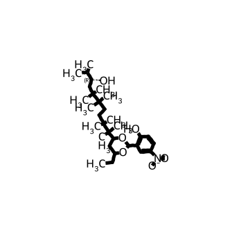 CCC1CC(C(C)(C)C(C)(C)CCC(C)(C)C(C)(C)C[C@@H](O)C(C)C)OC(c2cc([N+](=O)[O-])ccc2O)O1